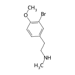 CNCCc1ccc(OC)c(Br)c1